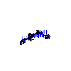 CN1CCN(CCNC(=N)c2cccc(/N=N/Nc3cccc(C(=N)NCCN4CCN(C)CC4)c3)c2)CC1